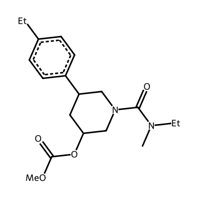 CCc1ccc(C2CC(OC(=O)OC)CN(C(=O)N(C)CC)C2)cc1